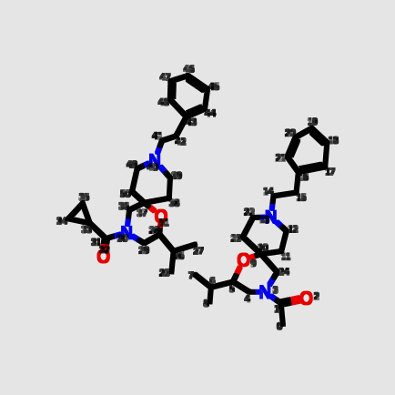 CC(=O)N1CC(C(C)C)OC2(CCN(CCc3ccccc3)CC2)C1.CC(C)C1CN(C(=O)C2CC2)CC2(CCN(CCc3ccccc3)CC2)O1